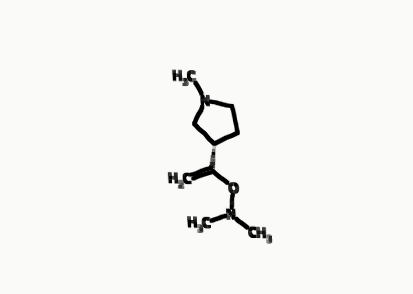 C=C(ON(C)C)[C@H]1CCN(C)C1